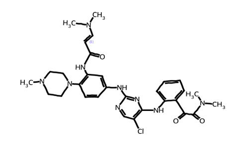 CN(C)/C=C/C(=O)Nc1cc(Nc2ncc(Cl)c(Nc3ccccc3C(=O)C(=O)N(C)C)n2)ccc1N1CCN(C)CC1